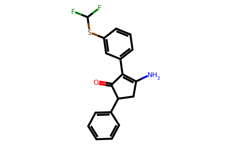 NC1=C(c2cccc(SC(F)F)c2)C(=O)C(c2ccccc2)C1